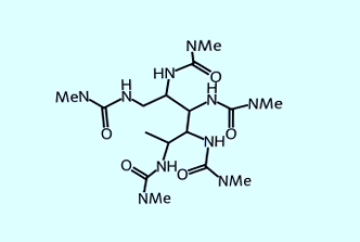 CNC(=O)NCC(NC(=O)NC)C(NC(=O)NC)C(NC(=O)NC)C(C)NC(=O)NC